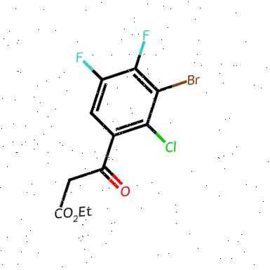 CCOC(=O)CC(=O)c1cc(F)c(F)c(Br)c1Cl